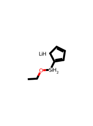 CCO[SiH2]C1=CC=CC1.[LiH]